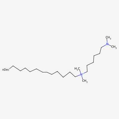 CCCCCCCCCCCCCCCCCCCCCC[N+](C)(C)CCCCCCN(C)C